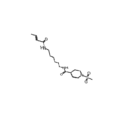 C/C=C/C(=O)NCCCCCCNC(=O)C1CCN(S(C)(=O)=O)CC1